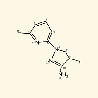 Cc1cccc(N2CC(C)C(N)=N2)n1